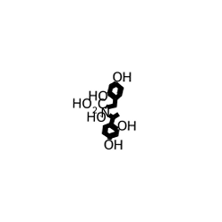 CC(c1ccc(O)cc1O)N(O)C(Cc1ccc(O)cc1O)C(=O)O